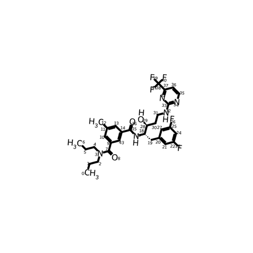 CCCN(CCC)C(=O)c1cc(C)cc(C(=O)N[C@@H](Cc2cc(F)cc(F)c2)[C@@H](O)CCNc2nccc(C(F)(F)F)n2)c1